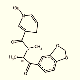 C[C@H](C(=O)c1ccc2c(c1)OCO2)N(C)C(=O)C1=CN(C(C)(C)C)C=CC1